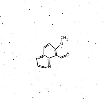 COc1ccc2cccnc2c1C=O